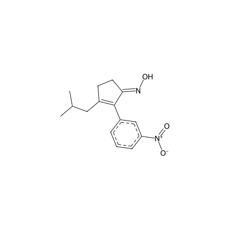 CC(C)CC1=C(c2cccc([N+](=O)[O-])c2)C(=NO)CC1